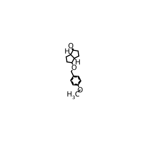 COc1ccc(COC2CC[C@@H]3C(=O)CC[C@H]23)cc1